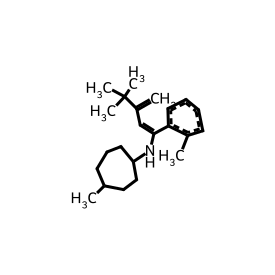 C=C(/C=C(/NC1CCCC(C)CC1)c1ccccc1C)C(C)(C)C